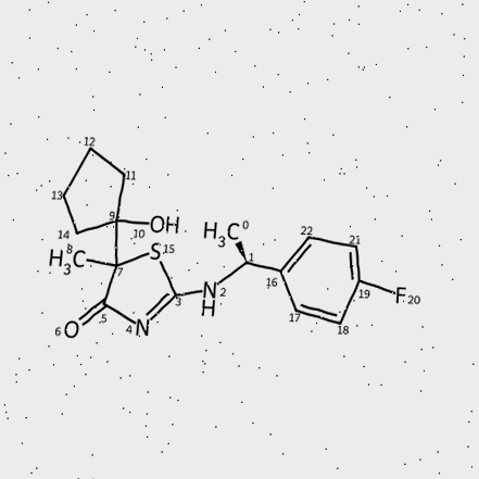 C[C@H](NC1=NC(=O)C(C)(C2(O)CCCC2)S1)c1ccc(F)cc1